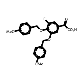 COc1ccc(COc2cc(C(=O)C(=O)O)cc(F)c2OCc2ccc(OC)cc2)cc1